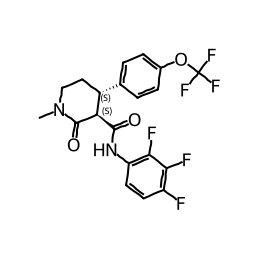 CN1CC[C@H](c2ccc(OC(F)(F)F)cc2)[C@@H](C(=O)Nc2ccc(F)c(F)c2F)C1=O